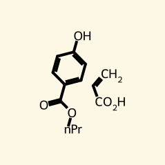 C=CC(=O)O.CCCOC(=O)c1ccc(O)cc1